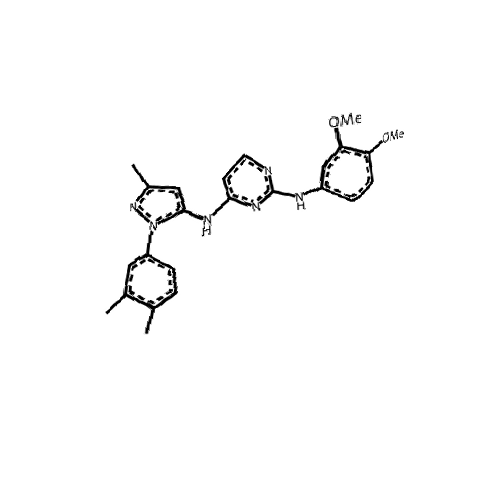 COc1ccc(Nc2nccc(Nc3cc(C)nn3-c3ccc(C)c(C)c3)n2)cc1OC